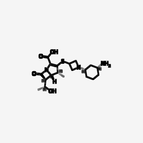 C[C@@H](O)[C@H]1C(=O)N2C(C(=O)O)=C(SC3CN([C@H]4CCC[C@@H](N)C4)C3)[C@H](C)[C@H]12